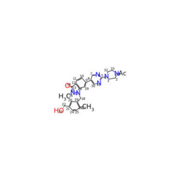 CC(=O)N1CCN(c2ncc(-c3ccc4c(=O)n(C)n(Cc5cc(CO)ccc5C)c4c3)cn2)CC1